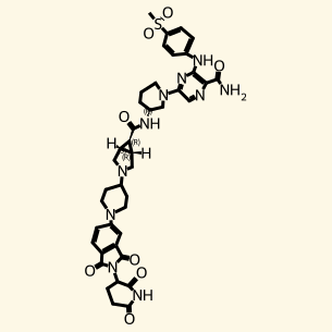 CS(=O)(=O)c1ccc(Nc2nc(N3CCC[C@@H](NC(=O)[C@H]4[C@@H]5CN(C6CCN(c7ccc8c(c7)C(=O)N(C7CCC(=O)NC7=O)C8=O)CC6)C[C@@H]54)C3)cnc2C(N)=O)cc1